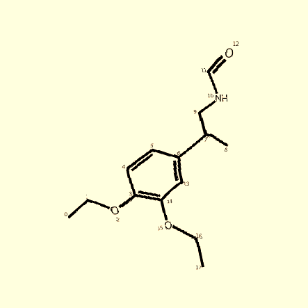 CCOc1ccc(C(C)CNC=O)cc1OCC